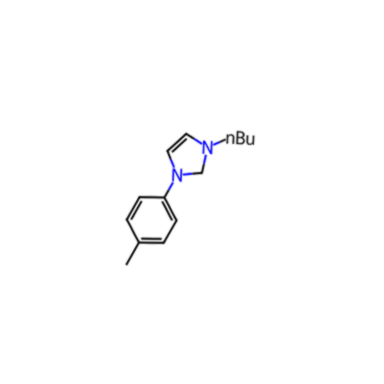 CCCCN1C=CN(c2ccc(C)cc2)C1